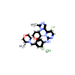 Cc1ncc(-c2nc(Nc3ccc(CN4CCOC[C@H]4C)cc3F)ncc2F)n1C1CCOCC1.Cl